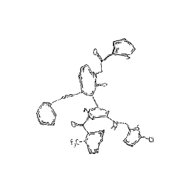 O=C(Cn1ccc(C#Cc2ccccc2)c(-c2cc(NCc3ccc(Cl)s3)n(C(=O)c3ccccc3C(F)(F)F)n2)c1=O)c1cccs1